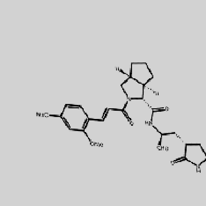 COc1ccc(/C=C/C(=O)N2C[C@@H]3CCC[C@H]3[C@@H]2C(=O)N[C@H](C=O)C[C@@H]2CCNC2=O)c(OC)c1